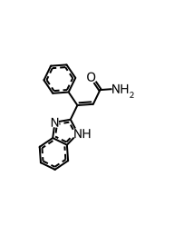 NC(=O)C=C(c1ccccc1)c1nc2ccccc2[nH]1